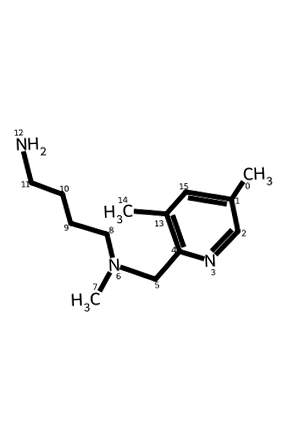 Cc1cnc(CN(C)CCCCN)c(C)c1